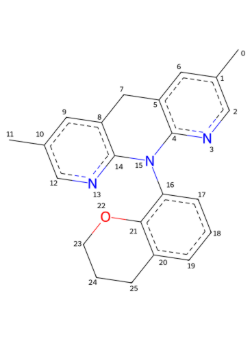 Cc1cnc2c(c1)Cc1cc(C)cnc1N2c1cccc2c1OCCC2